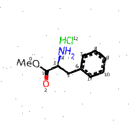 COC(=O)[C@@H](N)Cc1ccccc1.Cl